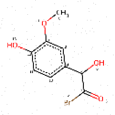 COc1cc(C(O)C(=O)Br)ccc1O